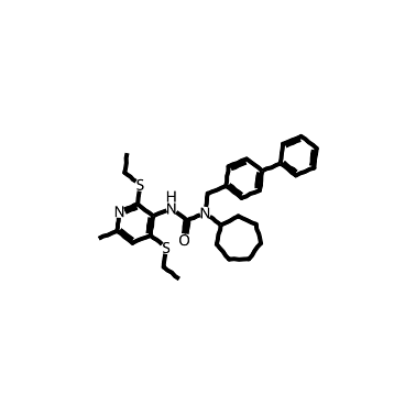 CCSc1cc(C)nc(SCC)c1NC(=O)N(Cc1ccc(-c2ccccc2)cc1)C1CCCCCC1